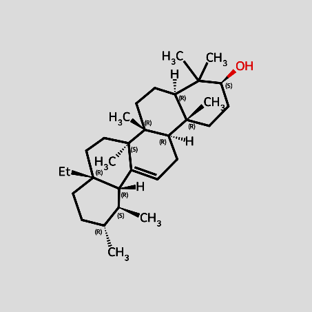 CC[C@]12CC[C@@H](C)[C@H](C)[C@H]1C1=CC[C@@H]3[C@@]4(C)CC[C@H](O)C(C)(C)[C@@H]4CC[C@@]3(C)[C@]1(C)CC2